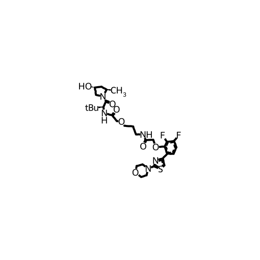 C[C@@H]1C[C@@H](O)CN1C(=O)[C@@H](NC(=O)COCCCNC(=O)COc1c(-c2csc(N3CCOCC3)n2)ccc(F)c1F)C(C)(C)C